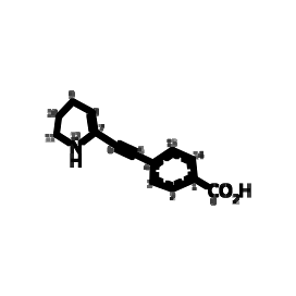 O=C(O)c1ccc(C#CC2=CCCCN2)cc1